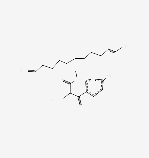 C=CCCCCCCCCC=CCCC.CCOC(=O)C(C(=O)OC(C)(C)C)C(=O)c1ccc(N)cc1